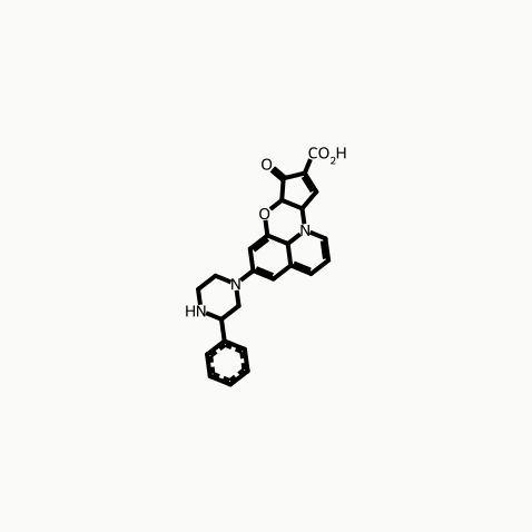 O=C(O)C1=CC2C(OC3=CC(N4CCNC(c5ccccc5)C4)=CC4=CC=CN2C43)C1=O